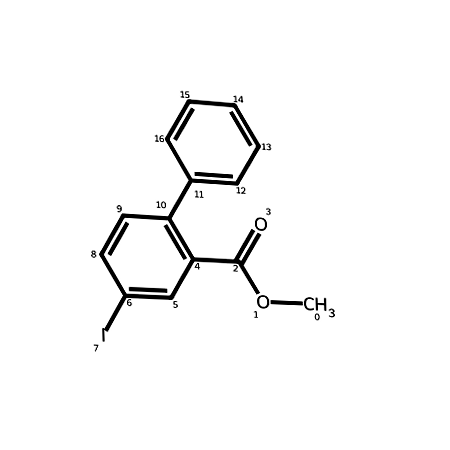 COC(=O)c1cc(I)ccc1-c1ccccc1